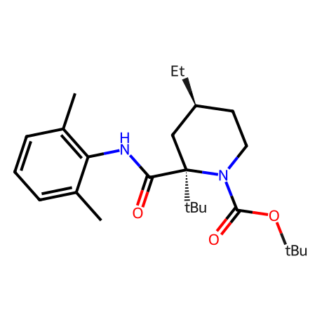 CC[C@H]1CCN(C(=O)OC(C)(C)C)[C@](C(=O)Nc2c(C)cccc2C)(C(C)(C)C)C1